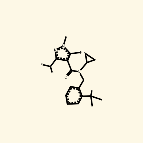 Cn1nc(C(F)F)c(C(=O)N(Cc2ccccc2C(C)(C)C)C2CC2)c1F